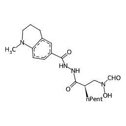 CCCCC[C@H](CN(O)C=O)C(=O)NNC(=O)c1ccc2c(c1)CCCN2C